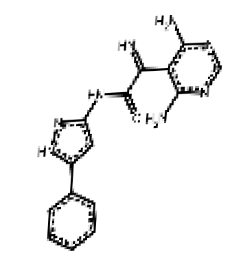 N=C(C(=O)Nc1cc(-c2ccccc2)[nH]n1)c1c(N)ncnc1N